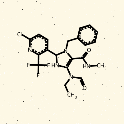 CCN(C=O)C1=C(C(=O)NC)N(Cc2ccccc2)C(c2ccc(Cl)nc2C(F)(F)F)N1